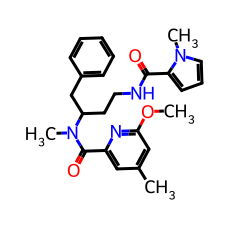 COc1cc(C)cc(C(=O)N(C)C(CCNC(=O)c2cccn2C)Cc2ccccc2)n1